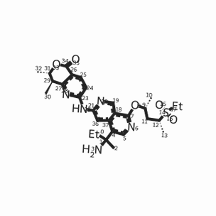 CCC(C)(N)c1cnc(O[C@H](C)C[C@@H](C)S(=O)(=O)CC)c2cnc(Nc3ccc4c(n3)[C@@H](C)[C@H](C)OC4=O)cc12